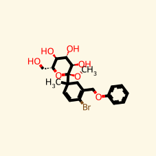 CO[C@@]1(C2(C)C=CC(Br)=C(COc3ccccc3)C2)O[C@H](CO)[C@@H](O)[C@H](O)[C@H]1O